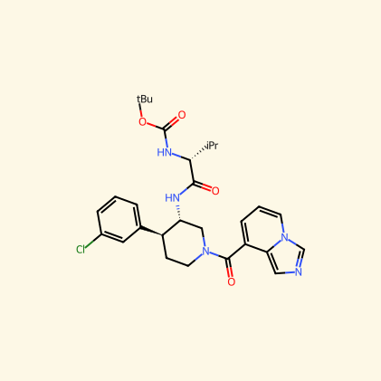 CC(C)[C@@H](NC(=O)OC(C)(C)C)C(=O)N[C@@H]1CN(C(=O)c2cccn3cncc23)CC[C@H]1c1cccc(Cl)c1